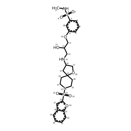 CNS(=O)(=O)c1cccc(OCC(O)CNC2COC3(CCN(S(=O)(=O)c4cc5ccccc5o4)CC3)C2)c1